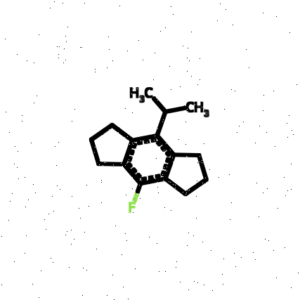 CC(C)c1c2c(c(F)c3c1CCC3)CCC2